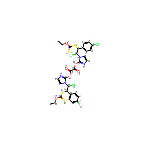 CCOC(=S)SC(c1ccc(Cl)cc1)C(Cl)n1ccnc1OC(=O)C(=O)Oc1nccn1C(Cl)C(SC(=S)OCC)c1ccc(Cl)cc1